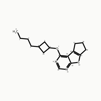 CCCCC1CC(Oc2ncnc3sc4c(c23)CCC4)C1